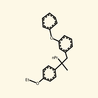 CCCC(C)(Cc1cccc(Oc2ccccc2)c1)c1ccc(OCC)cc1